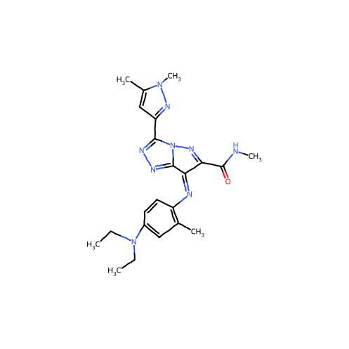 CCN(CC)c1ccc(/N=C2/C(C(=O)NC)=Nn3c2nnc3-c2cc(C)n(C)n2)c(C)c1